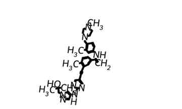 C=C(Nc1ccc(CN2CCN(C)CC2)c(C)c1)c1ccc(C)c(C#Cc2cnc(Nc3cnn(CC(C)(C)O)c3)nc2)c1